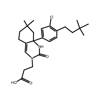 CC(C)(C)CCc1ccc(C23CC(C)(C)CCC2=CN(CCC(=O)O)C(=O)N3)cc1Cl